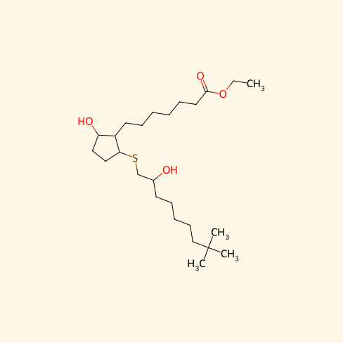 CCOC(=O)CCCCCCC1C(O)CCC1SCC(O)CCCCCC(C)(C)C